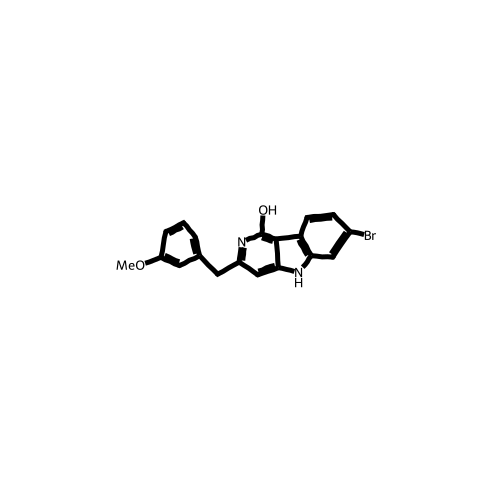 COc1cccc(Cc2cc3[nH]c4cc(Br)ccc4c3c(O)n2)c1